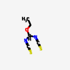 CCO[SiH](N=C=S)N=C=S